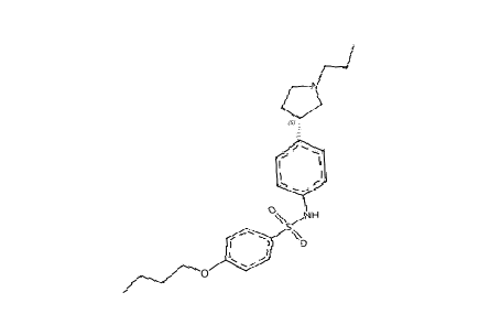 CCCCOc1ccc(S(=O)(=O)Nc2ccc([C@@H]3CCN(CCC)C3)cc2)cc1